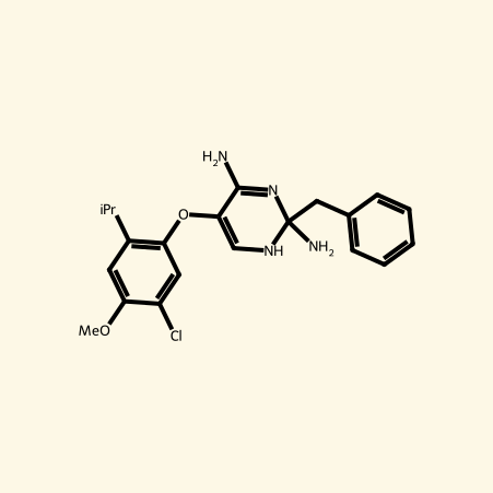 COc1cc(C(C)C)c(OC2=CNC(N)(Cc3ccccc3)N=C2N)cc1Cl